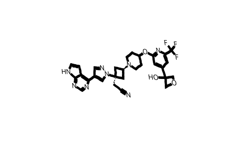 N#CC[C@]1(n2cc(-c3ncnc4[nH]ccc34)cn2)C[C@@H](N2CCC(Oc3cc(C4(O)COC4)cc(C(F)(F)F)n3)CC2)C1